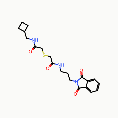 O=C(CSCC(=O)NCC1CCC1)NCCCN1C(=O)c2ccccc2C1=O